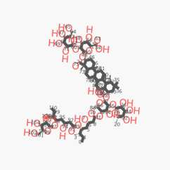 CC[C@H](C)C(CC(O)CC(=O)O[C@H]1[C@@H](O)[C@H](O[C@@H]2O[C@@H](C)[C@H](O)[C@@H](O)[C@H]2O)[C@@H](OC(=O)[C@]23CCC(C)(C)C[C@H]2C2=CCC4[C@@]5(C)CC[C@H](OC6O[C@H](C(=O)O)[C@@H](O)[C@H](O)[C@H]6O[C@@H]6O[C@H](CO)[C@H](O)[C@H](O)[C@H]6O)[C@@](C)(C=O)C5CC[C@@]4(C)[C@]2(C)C[C@H]3O)O[C@H]1C)OC(=O)CC(O)CC(O[C@@H]1O[C@@H](CO)[C@H](O)[C@H]1O)[C@@H](C)CC